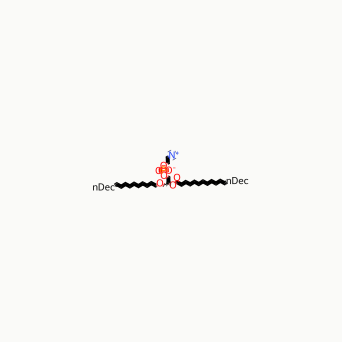 CCCCCCCCCCCCCCCCCCCCCC(=O)O[C@H](COCCCCCCCCCCCCCCCCCCCC)COP(=O)([O-])OCC[N+](C)(C)C